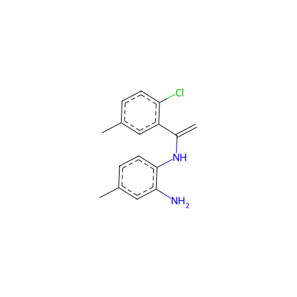 C=C(Nc1ccc(C)cc1N)c1cc(C)ccc1Cl